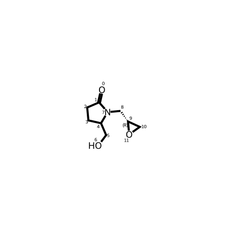 O=C1CCC(CO)N1C[C@@H]1CO1